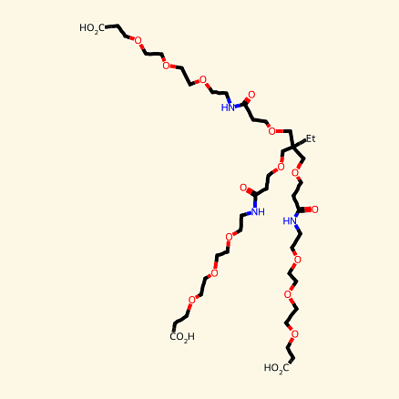 CCC(COCCC(=O)NCCOCCOCCOCCC(=O)O)(COCCC(=O)NCCOCCOCCOCCC(=O)O)COCCC(=O)NCCOCCOCCOCCC(=O)O